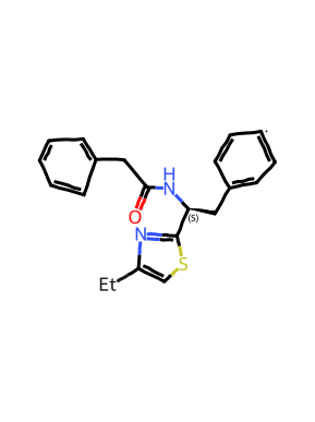 CCc1csc([C@H](Cc2cc[c]cc2)NC(=O)Cc2ccccc2)n1